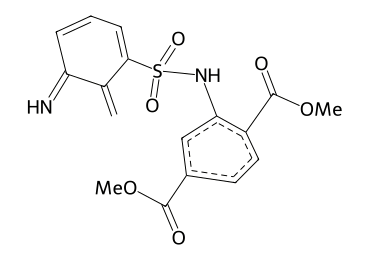 C=C1C(=N)C=CC=C1S(=O)(=O)Nc1cc(C(=O)OC)ccc1C(=O)OC